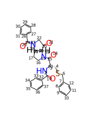 O=C(N[C@@H](CSCc1ccccc1)C(=O)N1CC[C@@H]2[C@H]1C(=O)CN2C(=O)c1ccccc1)c1ccccc1